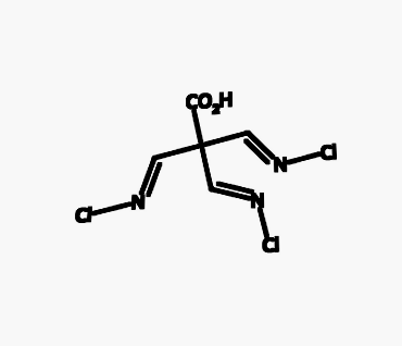 O=C(O)C(C=NCl)(C=NCl)C=NCl